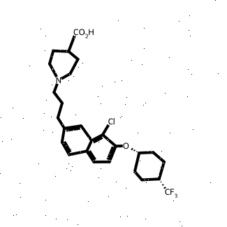 O=C(O)C1CCN(CCCc2ccc3ccc(O[C@H]4CC[C@@H](C(F)(F)F)CC4)c(Cl)c3c2)CC1